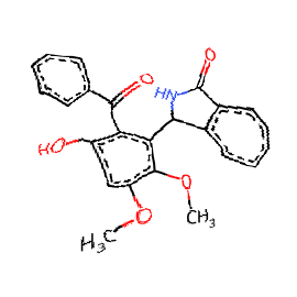 COc1cc(O)c(C(=O)c2ccccc2)c(C2NC(=O)c3ccccc32)c1OC